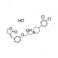 Cl.O=C1OCCC1=Cc1cccc(OC[C@@H](O)CN2CCC(c3ccc(Cl)c(Cl)c3)CC2)c1